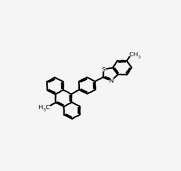 Cc1ccc2nc(-c3ccc(-c4c5ccccc5c(C)c5ccccc45)cc3)sc2c1